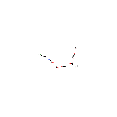 CCOCCOC(C)OCCOC(C)OCCNC(=O)CCl